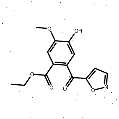 CCOC(=O)c1cc(OC)c(O)cc1C(=O)c1ccno1